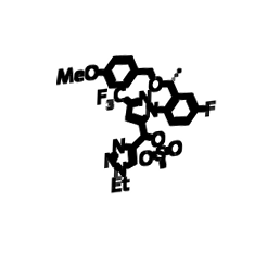 CCn1cc(C(OS(C)(=O)=O)c2cc(C(F)(F)F)nn2-c2ccc(F)cc2[C@@H](C)OCc2ccc(OC)cc2)nn1